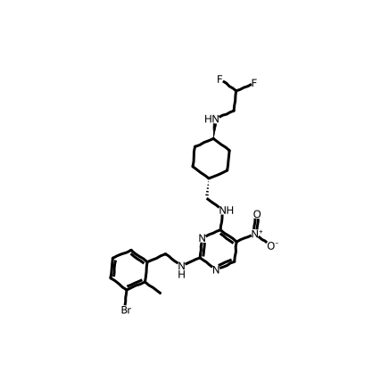 Cc1c(Br)cccc1CNc1ncc([N+](=O)[O-])c(NC[C@H]2CC[C@H](NCC(F)F)CC2)n1